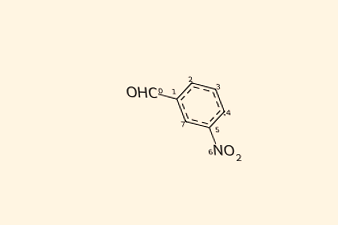 O=Cc1cc[c]c([N+](=O)[O-])c1